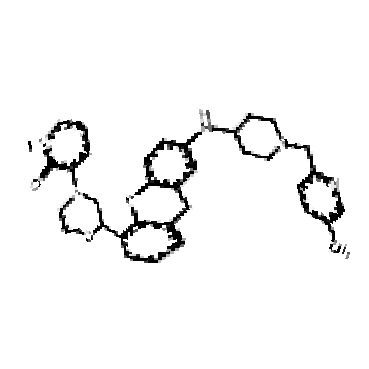 Cc1ccc(CN2CCC(Nc3ccc4c(c3)Cc3cccc(C5CN(c6ccc[nH]c6=O)CCO5)c3O4)CC2)nc1